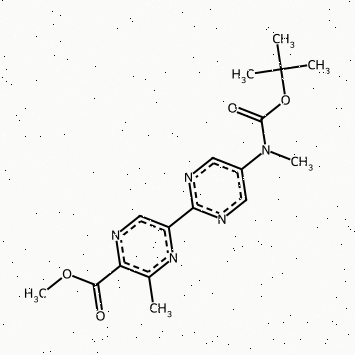 COC(=O)c1ncc(-c2ncc(N(C)C(=O)OC(C)(C)C)cn2)nc1C